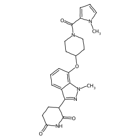 Cn1cccc1C(=O)N1CCC(Oc2cccc3c(C4CCC(=O)NC4=O)nn(C)c23)CC1